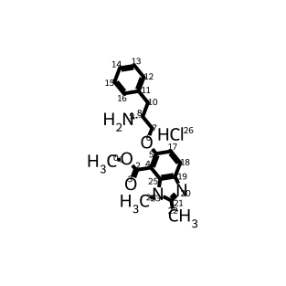 COC(=O)c1c(OC[C@H](N)Cc2ccccc2)ccc2nc(C)n(C)c12.Cl